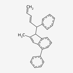 C=CC=CC(c1ccccc1)C1C(C)=Cc2c(-c3ccccc3)cccc21